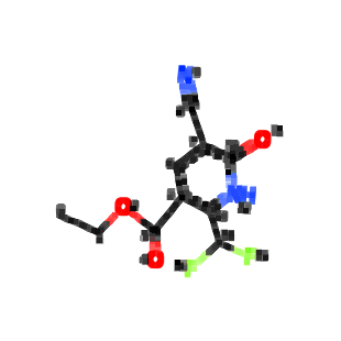 CCOC(=O)c1cc(C#N)c(=O)[nH]c1C(F)F